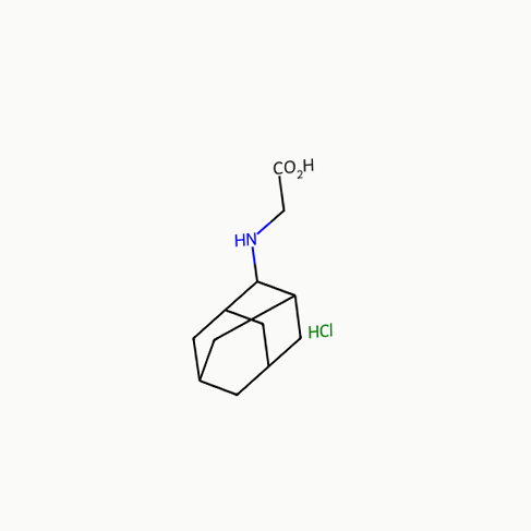 Cl.O=C(O)CNC1C2CC3CC(C2)CC1C3